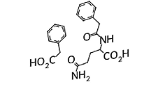 NC(=O)CCC(NC(=O)Cc1ccccc1)C(=O)O.O=C(O)Cc1ccccc1